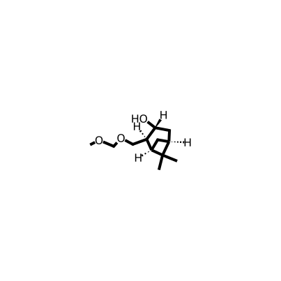 COCOC[C@H]1[C@H](O)C[C@@H]2C[C@H]1C2(C)C